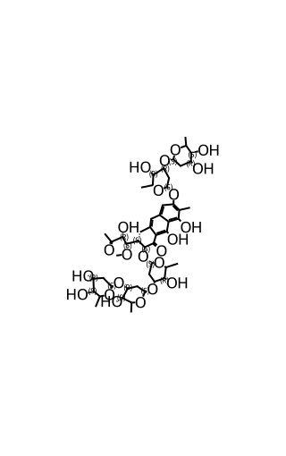 CO[C@@H]([C@@H]1Cc2cc3cc(O[C@H]4C[C@@H](O[C@H]5C[C@@H](O)[C@H](O)C(C)O5)[C@H](O)C(C)O4)c(C)c(O)c3c(O)c2C(=O)[C@H]1O[C@H]1CC(O[C@H]2C[C@@H](O[C@H]3C[C@@H](O)[C@H](O)C(C)O3)[C@@H](O)C(C)O2)[C@H](O)C(C)O1)[C@@H](O)C(C)=O